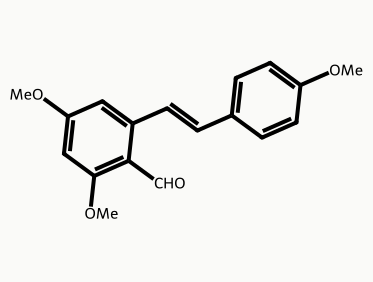 COc1ccc(C=Cc2cc(OC)cc(OC)c2C=O)cc1